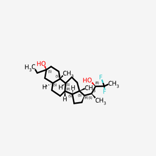 CC[C@]1(O)CC[C@@]2(C)[C@@H](CC[C@@H]3[C@@H]2CC[C@]2(C)[C@@H]([C@H](C)[C@@H](O)C(C)(F)F)CC[C@@H]32)C1